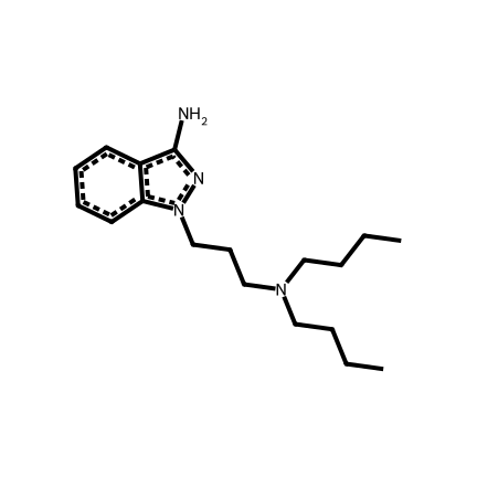 CCCCN(CCCC)CCCn1nc(N)c2ccccc21